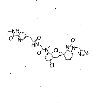 CNC(=O)c1ccc(CCC(=O)NCC(=O)N(C)c2ccc(Cl)c(COc3cccc4c3nc(OC)n4Cc3cn(C)cn3)c2Cl)cn1